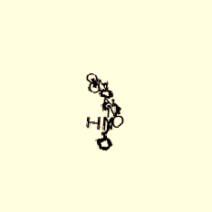 Cn1c(=O)oc2cc(N3CCN(C(=O)NCCc4ccccc4)C(C)(C)C3)ccc21